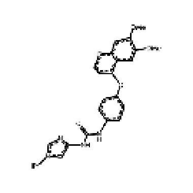 COc1cc2nccc(Oc3ccc(NC(=O)Nc4cn(C(C)C)cn4)cc3)c2cc1OC